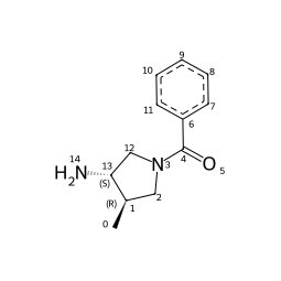 C[C@@H]1CN(C(=O)c2ccccc2)C[C@H]1N